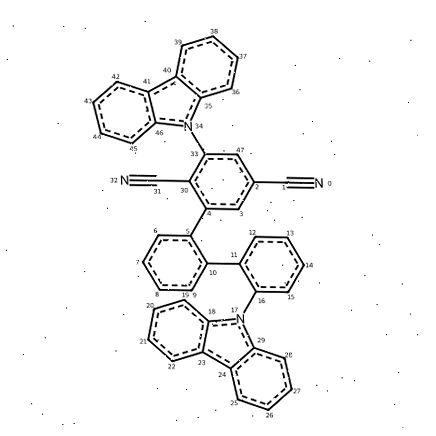 N#Cc1cc(-c2ccccc2-c2ccccc2-n2c3ccccc3c3ccccc32)c(C#N)c(-n2c3ccccc3c3ccccc32)c1